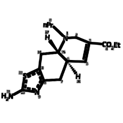 CCCN1CC(C(=O)OCC)=C[C@H]2Cc3nc(N)sc3C[C@@H]21